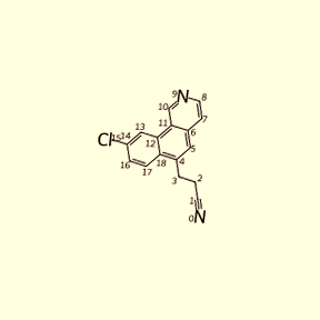 N#CCCc1cc2ccncc2c2cc(Cl)ccc12